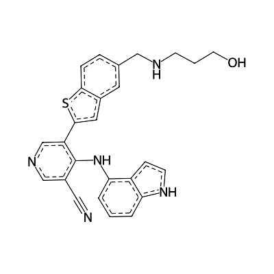 N#Cc1cncc(-c2cc3cc(CNCCCO)ccc3s2)c1Nc1cccc2[nH]ccc12